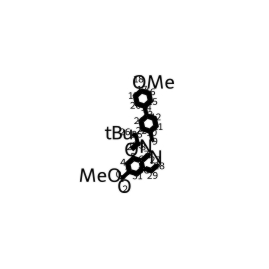 COC(=O)c1ccc2c(N(Cc3ccc(-c4ccc(OC)cc4)cc3)C(=O)CC(C)(C)C)nccc2c1